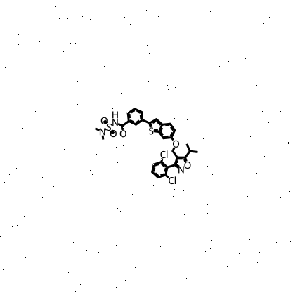 CC(C)c1onc(-c2c(Cl)cccc2Cl)c1COc1ccc2cc(-c3cccc(C(=O)NS(=O)(=O)N(C)C)c3)sc2c1